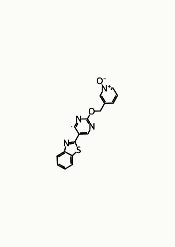 [O-][n+]1cccc(COc2n[c]c(-c3nc4ccccc4s3)cn2)c1